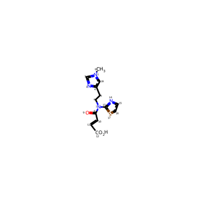 Cn1cnc(CCN(C(=O)C=CC(=O)O)c2nccs2)c1